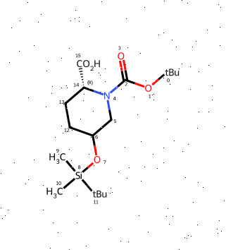 CC(C)(C)OC(=O)N1CC(O[Si](C)(C)C(C)(C)C)CC[C@@H]1C(=O)O